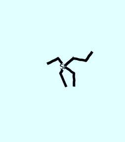 CC[CH][Si](CC)(CC)CC